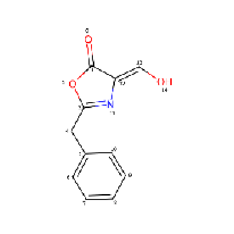 O=C1OC(Cc2ccccc2)=NC1=CO